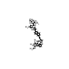 COC(=O)N[C@H](C(=O)N1CC(C)=C[C@H]1c1ncc(-c2ccc3cc(C#Cc4cnc([C@@H]5[C@@H]6CC[C@@H](C6)N5C(=O)[C@@H](NC(=O)OC)C(C)C)[nH]4)ccc3c2)[nH]1)C(C)C